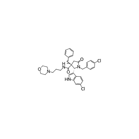 O=C1C[C@@](Sc2ccccc2)(C(=O)NCCCN2CCOCC2)[C@@H](c2c[nH]c3cc(Cl)ccc23)N1Cc1ccc(Cl)cc1